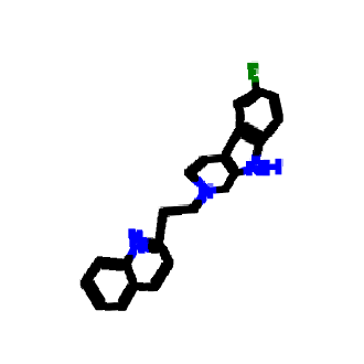 Fc1ccc2[nH]c3c(c2c1)CCN(CCc1ccc2ccccc2n1)C3